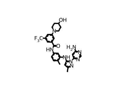 Cc1cc(Nc2cc(NC(=O)c3cc(N4CCC(O)CC4)cc(C(F)(F)F)c3)ccc2C)n(-c2cc(N)ncn2)n1